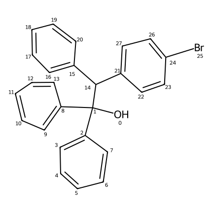 OC(c1ccccc1)(c1ccccc1)C(c1ccccc1)c1ccc(Br)cc1